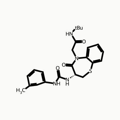 Cc1cccc(NC(=O)N[C@H]2CSc3ccccc3N(CC(=O)NC(C)(C)C)C2=O)c1